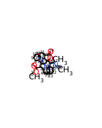 CCOC(=O)c1c(-c2ccccc2)c(C2(c3c(C)n(CC)c4ccccc34)OC(=O)c3cccnc32)n2ccccc12